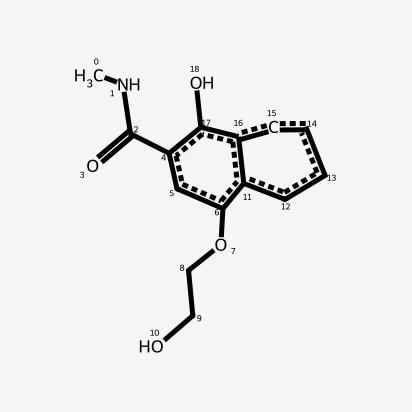 CNC(=O)c1cc(OCCO)c2ccccc2c1O